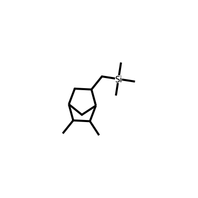 CC1C2CC(C[Si](C)(C)C)C(C2)C1C